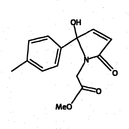 COC(=O)CN1C(=O)C=CC1(O)c1ccc(C)cc1